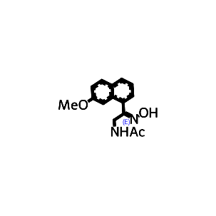 COc1ccc2cccc(/C(CNC(C)=O)=N\O)c2c1